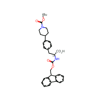 CC(C)(C)OC(=O)N1CCC(c2ccc(C[C@H](NC(=O)OCC3c4ccccc4-c4ccccc43)C(=O)O)cc2)CC1